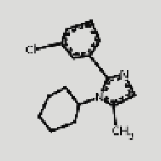 Cc1cnc(-c2cccc(Cl)c2)n1C1CCCCC1